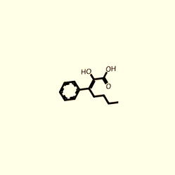 CCCCC(=C(O)C(=O)O)c1ccccc1